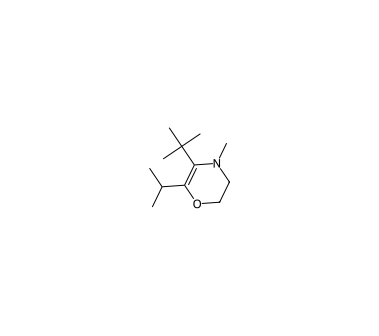 CC(C)C1=C(C(C)(C)C)N(C)CCO1